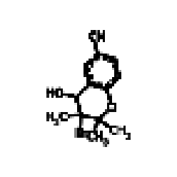 CC1(C)Oc2ccc(C#N)cc2C(O)C1(C)Br